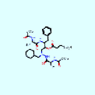 COC(=O)N[C@H](C(=O)NC(Cc1ccccc1)C(CN(CC1CCCCC1)NC(=O)[C@@H](NC(=O)OC)C(C)C)OC(=O)CCC(=O)O)C(C)C